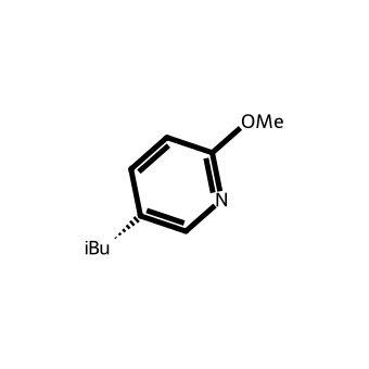 CC[C@@H](C)c1ccc(OC)nc1